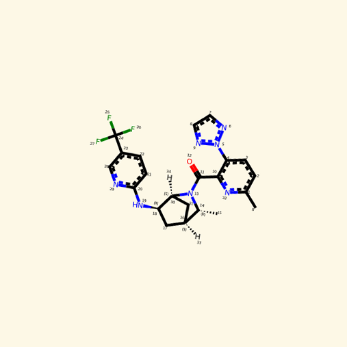 Cc1ccc(-n2nccn2)c(C(=O)N2[C@H](C)[C@H]3C[C@@H](Nc4ccc(C(F)(F)F)cn4)[C@@H]2C3)n1